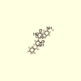 Nc1cccc([C@H](NC(=O)c2ccc(Cc3ccccc3)[nH]c2=O)C(=O)O)c1